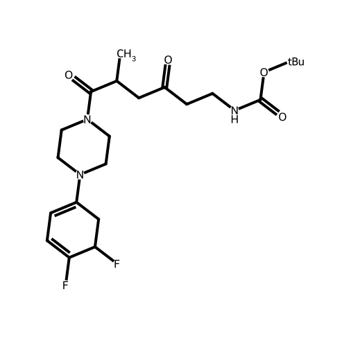 CC(CC(=O)CCNC(=O)OC(C)(C)C)C(=O)N1CCN(C2=CC=C(F)C(F)C2)CC1